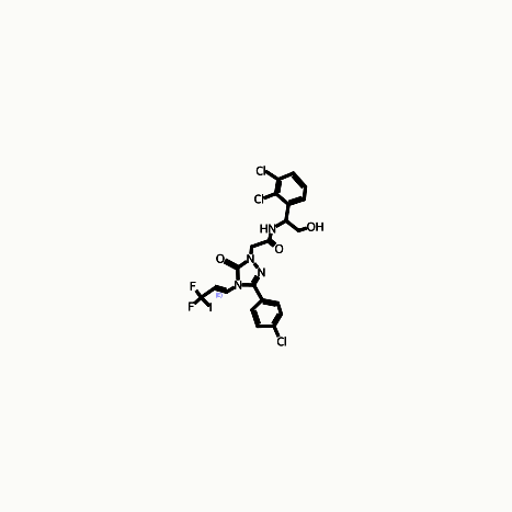 O=C(Cn1nc(-c2ccc(Cl)cc2)n(/C=C/C(F)(F)I)c1=O)NC(CO)c1cccc(Cl)c1Cl